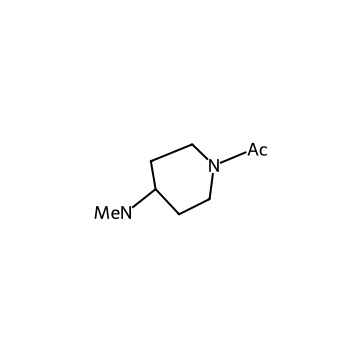 [CH2]C(=O)N1CCC(NC)CC1